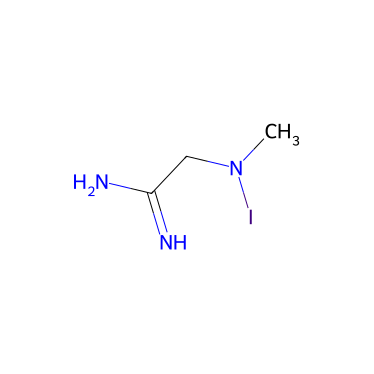 CN(I)CC(=N)N